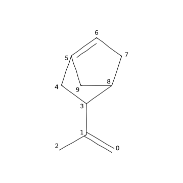 C=C(C)C1CC2=CCC1C2